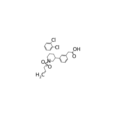 C=CCS(=O)(=O)N1CCCC(c2cccc(CC(=O)O)c2)C1.Clc1ccccc1Cl